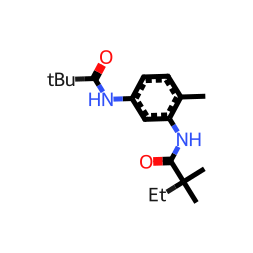 CCC(C)(C)C(=O)Nc1cc(NC(=O)C(C)(C)C)ccc1C